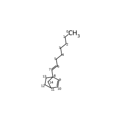 CCCCCCC=CC12C=CC(CC1)C2